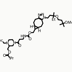 CCC(C)(CCn1nnc2c1CC[C@H]1C(COC(=O)NCCC(=O)N3CCN(CC(C)=O)C(COC(=O)C(C)C)C3)[C@H]1CC2)OCCC(C)(C)OC